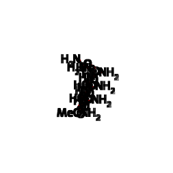 COc1ccc(NC(=O)[C@H](CCCCN)NC(=O)c2cc(NC(=O)[C@H](CCCCN)NC(=O)c3cc(NC(=O)[C@H](CCCCN)NC(=O)c4cccc(NC(=O)[C@@H](N)CCCCN)c4)ccc3O)ccc2O)cc1C(N)=O